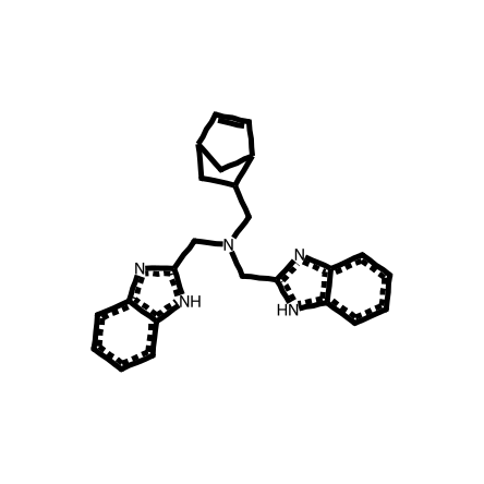 C1=CC2CC1CC2CN(Cc1nc2ccccc2[nH]1)Cc1nc2ccccc2[nH]1